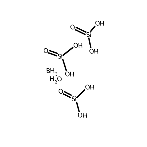 B.O.O=[Si](O)O.O=[Si](O)O.O=[Si](O)O